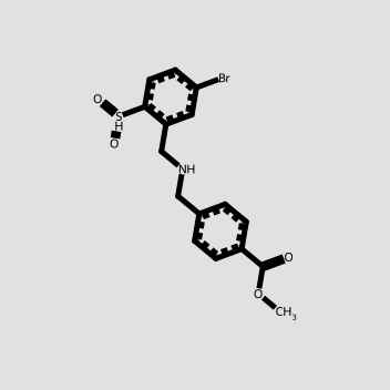 COC(=O)c1ccc(CNCc2cc(Br)ccc2[SH](=O)=O)cc1